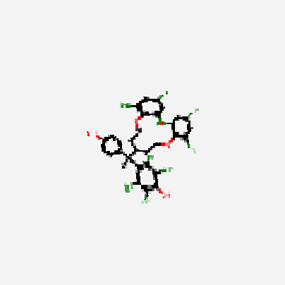 CC(c1ccc(O)cc1)(c1c(Br)c(Br)c(O)c(Br)c1Br)C(CCOc1c(Br)cc(Br)cc1Br)CCOc1c(Br)cc(Br)cc1Br